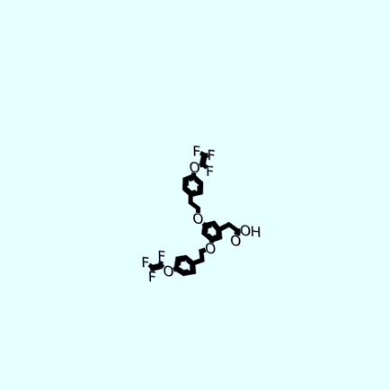 O=C(O)Cc1cc(OCCc2ccc(OC(F)=C(F)F)cc2)cc(OCCc2ccc(OC(F)=C(F)F)cc2)c1